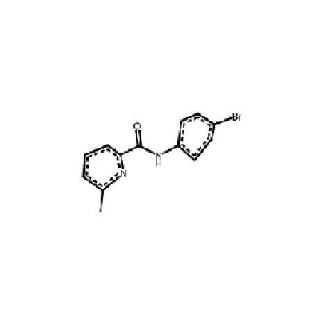 Cc1cccc(C(=O)Nc2ccc(Br)cc2)n1